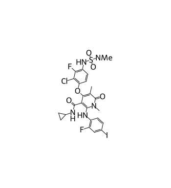 CNS(=O)(=O)Nc1ccc(Oc2c(C(=O)NC3CC3)c(Nc3ccc(I)cc3F)n(C)c(=O)c2C)c(Cl)c1F